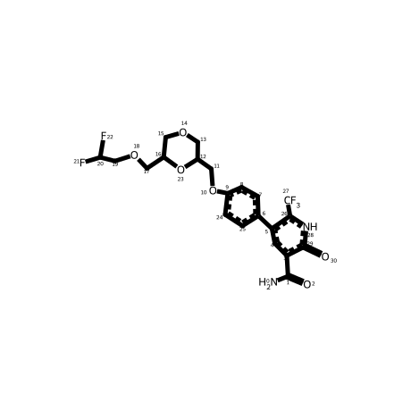 NC(=O)c1cc(-c2ccc(OCC3COCC(COCC(F)F)O3)cc2)c(C(F)(F)F)[nH]c1=O